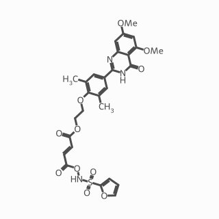 COc1cc(OC)c2c(=O)[nH]c(-c3cc(C)c(OCCOC(=O)/C=C/C(=O)ONS(=O)(=O)c4ccco4)c(C)c3)nc2c1